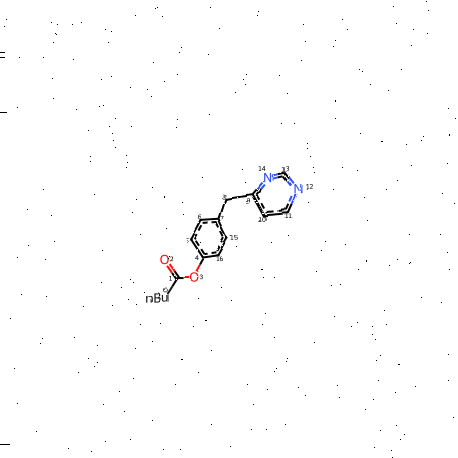 CCCCC(=O)Oc1ccc(Cc2ccncn2)cc1